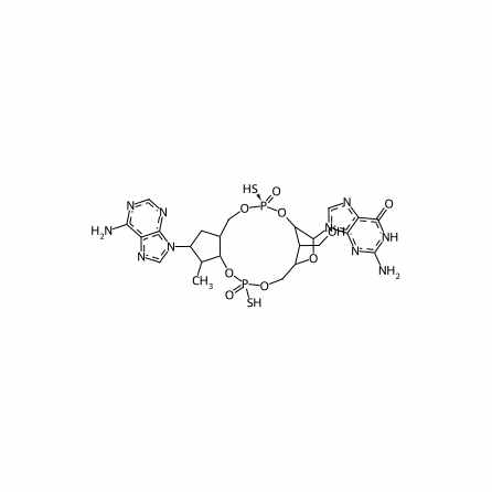 CC1C2OP(=O)(S)OCC3OC(n4cnc5c(=O)[nH]c(N)nc54)C(O[P@](=O)(S)OCC2CC1n1cnc2c(N)ncnc21)C3CO